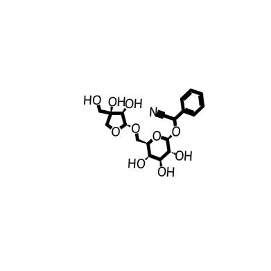 N#CC(O[C@@H]1O[C@H](CO[C@@H]2OC[C@](O)(CO)[C@H]2O)[C@@H](O)[C@H](O)[C@H]1O)c1ccccc1